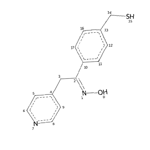 ON=C(Cc1ccncc1)c1ccc(CS)cc1